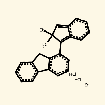 CCC1(C)C=c2ccccc2=C1c1cccc2c1Cc1ccccc1-2.Cl.Cl.[Zr]